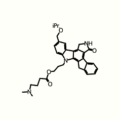 CC(C)OCc1ccc2c(c1)c1c3c(c4c(c1n2CCCOC(=O)CCCN(C)C)Cc1ccccc1-4)C(=O)NC3